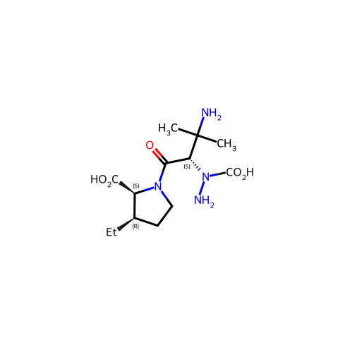 CC[C@@H]1CCN(C(=O)[C@@H](N(N)C(=O)O)C(C)(C)N)[C@@H]1C(=O)O